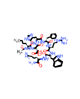 CCCC[C@H](NC(C)=O)C(=O)N[C@@H](CC(=O)O)C(=O)N[C@@H](Cc1c[nH]cn1)C(=O)N[C@H](Cc1ccccc1)C(=O)N[C@@H](CCCNC(=N)N)C(=O)N[C@@H](Cc1c[nH]c2ccccc12)C(=O)N[C@@H](CCCCN)C(N)=O